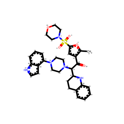 Cc1oc(S(=O)(=O)N2CCOCC2)cc1C(=O)C(C1CCc2ccccc2N1)N1CCN(c2cccc3[nH]ccc23)CC1